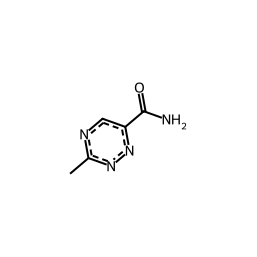 Cc1ncc(C(N)=O)nn1